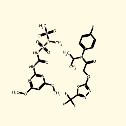 CC(C)N(C(=O)COc1nnc(C(F)(F)F)s1)c1ccc(F)cc1.COc1cc(OC)nc(NC(=O)NS(=O)(=O)N(C)S(C)(=O)=O)n1